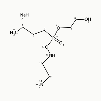 CCCCP(=O)(OCCO)ONCCN.[NaH]